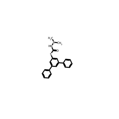 CN(C)NC(=O)Sc1cc(-c2ccccc2)cc(-c2ccccc2)c1